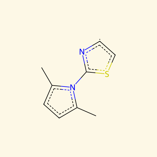 Cc1ccc(C)n1-c1n[c]cs1